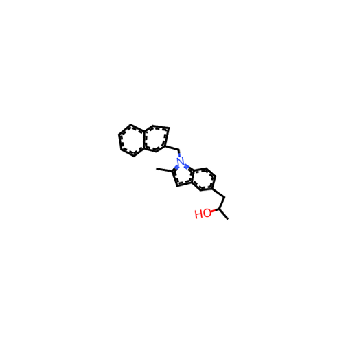 Cc1cc2cc(CC(C)O)ccc2n1Cc1ccc2ccccc2c1